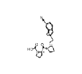 N#Cc1ccc2cc(CC[C@@H]3CCCN3C(=O)[C@H]3CCCN3C(=O)O)oc2c1